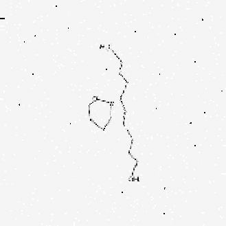 C1CCOOC1.CCCCCCCCCCO